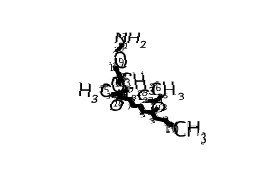 CCCCC(CCCCC(=O)C(CC)(CC)OCCOCCN)OC(CC)CC